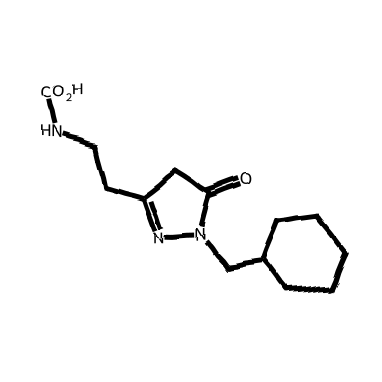 O=C(O)NCCC1=NN(CC2CCCCC2)C(=O)C1